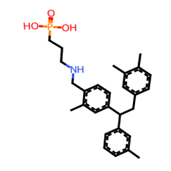 Cc1cccc(C(Cc2ccc(C)c(C)c2)c2ccc(CNCCCP(=O)(O)O)c(C)c2)c1